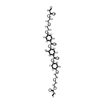 C=CC(=O)OCCOCCOc1ccc(OC(=O)c2ccc(OC(=O)c3ccc(OCCOCCOC(=O)C=C)cc3)c(C)c2)cc1